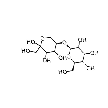 OC[C@H]1O[C@@H](O[C@@H]2CO[C@@](O)(CO)[C@@H](O)[C@@H]2O)[C@H](O)[C@@H](O)[C@@H]1O